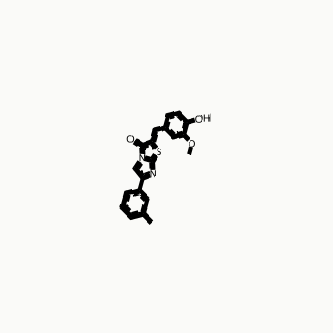 COc1cc(/C=c2\sc3nc(-c4cccc(C)c4)cn3c2=O)ccc1O